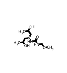 COCNC(=O)NN(CC(C)O)CC(C)O